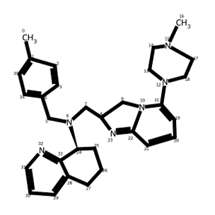 Cc1ccc(CN(CC2CN3C(N4CCN(C)CC4)=CC=CC3=N2)[C@H]2CCCc3cccnc32)cc1